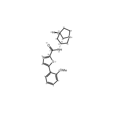 COc1ccccc1-c1cnc(C(=O)N[C@@H]2C[C@@H]3CCN(C3)C2)s1